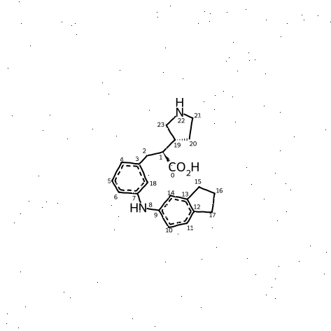 O=C(O)[C@@H](Cc1cccc(Nc2ccc3c(c2)CCC3)c1)[C@H]1CCNC1